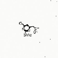 CSc1nc(Cl)cc(C[S+](C)[O-])n1